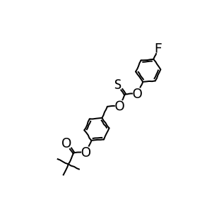 CC(C)(C)C(=O)Oc1ccc(COC(=S)Oc2ccc(F)cc2)cc1